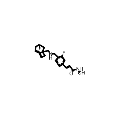 O=C(/C=C/c1ccc(CNCC23CC4CC=C2C(C4)C3)c(F)c1)NO